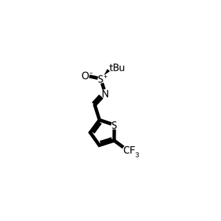 CC(C)(C)[S@+]([O-])N=Cc1ccc(C(F)(F)F)s1